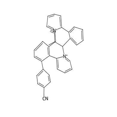 C=CCc1cccc(-c2ccc(C#N)cc2)c1-c1cccc[n+]1C1c2ccccc2-c2cccc[n+]2C1C